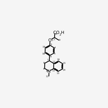 CC(Oc1ccc(C2CCN(C)c3ccccc32)cc1)C(=O)O